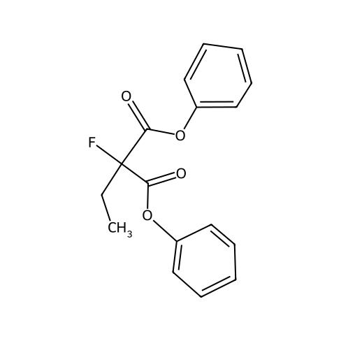 CCC(F)(C(=O)Oc1ccccc1)C(=O)Oc1ccccc1